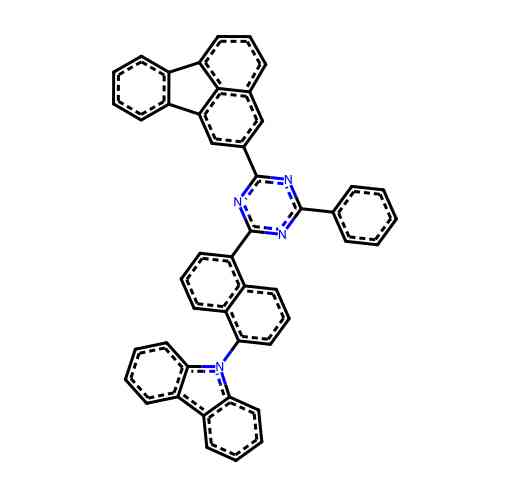 c1ccc(-c2nc(-c3cc4c5c(cccc5c3)-c3ccccc3-4)nc(-c3cccc4c(-n5c6ccccc6c6ccccc65)cccc34)n2)cc1